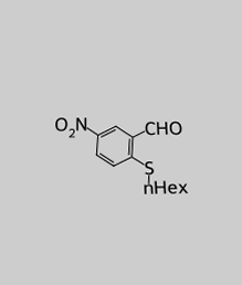 CCCCCCSc1ccc([N+](=O)[O-])cc1C=O